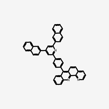 c1ccc2cc(-c3cc(-c4ccc(-c5c6ccccc6nc6c5ccc5cccnc56)cc4)nc(-c4ccc5ccccc5c4)c3)ccc2c1